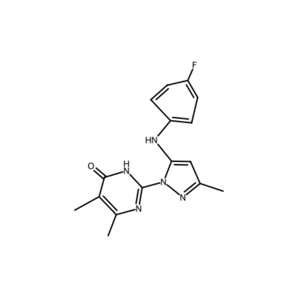 Cc1cc(Nc2ccc(F)cc2)n(-c2nc(C)c(C)c(=O)[nH]2)n1